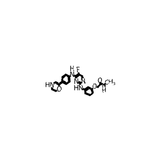 CNC(=O)COc1cccc(Nc2ncc(F)c(Nc3ccc(C4CNCCO4)cc3)n2)c1